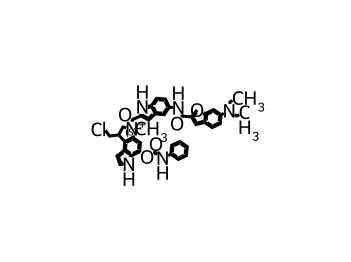 CCN(CC)c1ccc2cc(C(=O)Nc3ccc4[nH]c(C(=O)[N@@+]5(C)CC(CCl)c6c5cc(OC(=O)Nc5ccccc5)c5[nH]ccc65)cc4c3)oc2c1